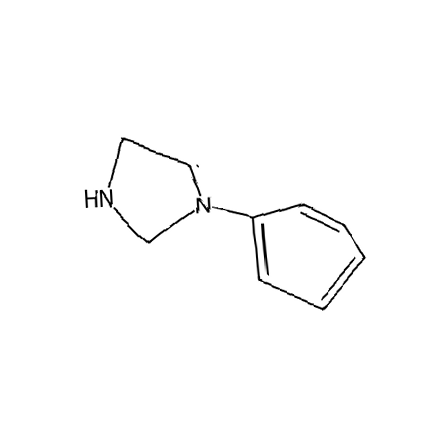 [CH]1CNCN1c1ccccc1